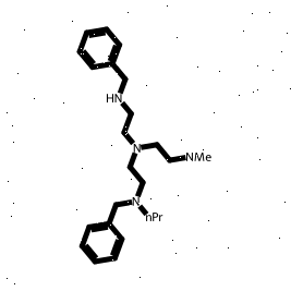 CCCN(CCN(CCNC)CCNCc1ccccc1)Cc1ccccc1